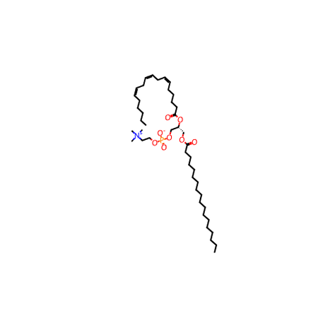 CCCCC/C=C\C/C=C\C/C=C\CCCCC(=O)O[C@H](COC(=O)CCCCCCCCCCCCCCCCC)COP(=O)([O-])OCC[N+](C)(C)C